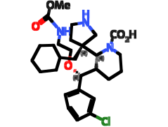 COC(=O)NCCO[C@@H](c1cccc(Cl)c1)C1CCCN(C(=O)O)[C@H]1[C@]1(CC2CCCCC2)CCNC1